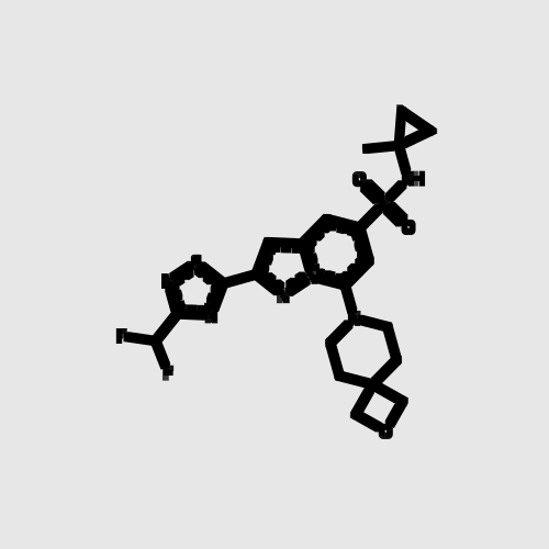 CC1(NS(=O)(=O)c2cc(N3CCC4(CC3)COC4)n3nc(-c4nc(C(F)F)ns4)cc3c2)CC1